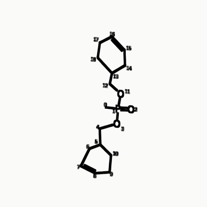 CP(=O)(OCC1CC=CCC1)OCC1CC=CCC1